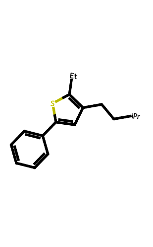 CCc1sc(-c2ccccc2)cc1CCC(C)C